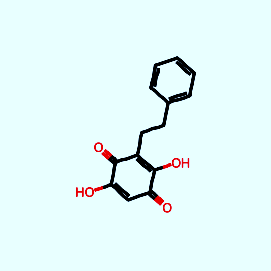 O=C1C=C(O)C(=O)C(CCc2ccccc2)=C1O